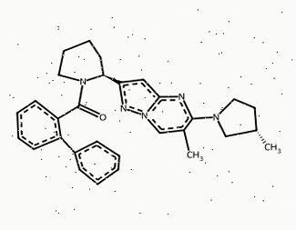 Cc1cn2nc([C@@H]3CCCCN3C(=O)c3ccccc3-c3ccccc3)cc2nc1N1CC[C@H](C)C1